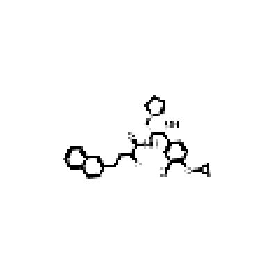 O=C(CCc1ccc2ccccc2c1)C(=O)N[C@H](CN1CCCC1)[C@H](O)c1ccc(OC2CC2)c(Cl)c1